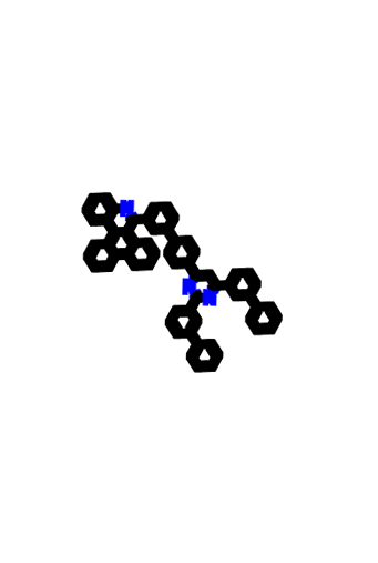 c1ccc(-c2cccc(-c3cc(-c4ccc(-c5cccc(-c6nc7ccccc7c7c8ccccc8c8ccccc8c67)c5)cc4)nc(-c4cccc(-c5ccccc5)c4)n3)c2)cc1